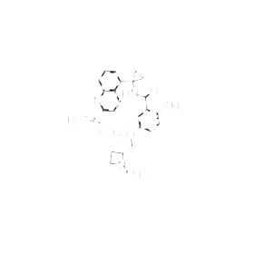 Cc1ccc(OCC2CCN2C)cc1C(=O)NC1(c2cccc3nc(N(C)C)ccc23)CC1